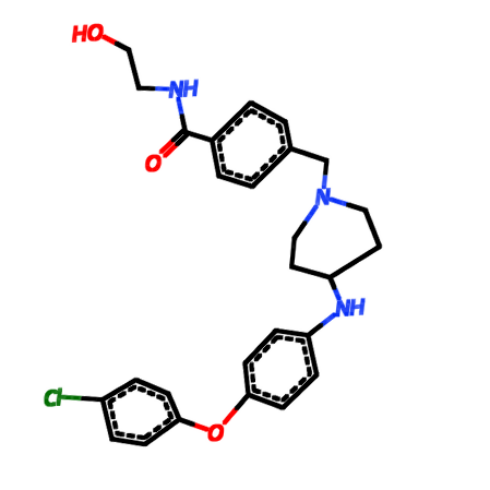 O=C(NCCO)c1ccc(CN2CCC(Nc3ccc(Oc4ccc(Cl)cc4)cc3)CC2)cc1